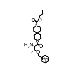 C=CCOC(=O)N1CCC2(CC1)CCN(C(=O)[C@@H](N)[C@@H](C)OCC13CCC(CC1)OC3)CC2